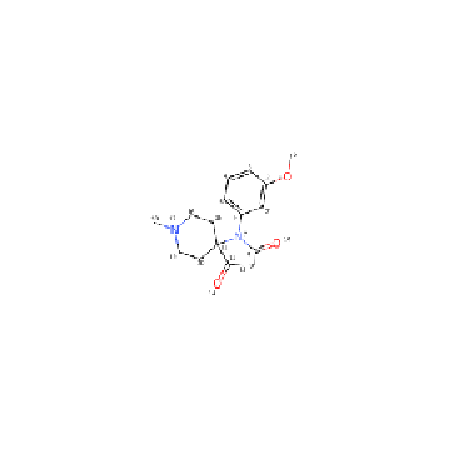 COc1cccc(N(C(C)=O)C2(C(C)=O)CCN(C)CC2)c1